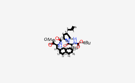 C=CC[C@H]1C[C@@H](C(=O)NC(Cc2ccc3ccccc3c2)C(=O)OC)N(C(=O)C(NC(=O)OC(C)(C)C)C(C)(C)C)C1